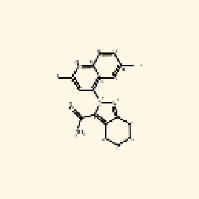 Cc1cc(-n2nc3c(c2C(N)=O)C[C]CC3)c2cc(F)ccc2n1